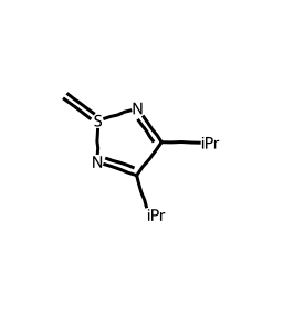 C=S1N=C(C(C)C)C(C(C)C)=N1